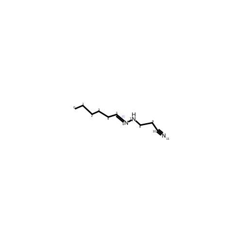 CCCCC/C=N/NCCC#N